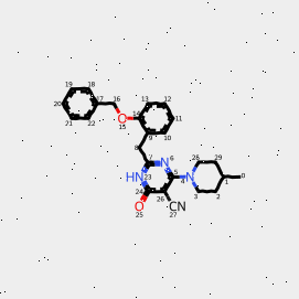 CC1CCN(c2nc(Cc3ccccc3OCc3ccccc3)[nH]c(=O)c2C#N)CC1